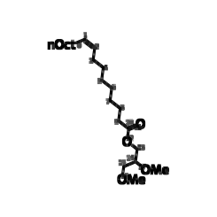 CCCCCCCC/C=C\CCCCCCCC(=O)OCC(COC)OC